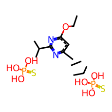 CC.CCC.CCOc1cc(C)nc(C(C)C)n1.OP(O)(O)=S.OP(O)(O)=S